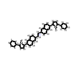 Cn1c(-c2ccccc2)ccc1-c1ccc2cc(/C=C/c3ccc4cc(-c5ccc(-c6ccccc6)n5C)ccc4c3)ccc2c1